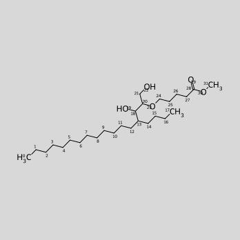 CCCCCCCCCCCCCC(CCCC)C(O)C(CO)OCCCCC(=O)OC